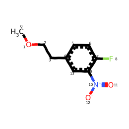 COCCc1ccc(F)c([N+](=O)[O-])c1